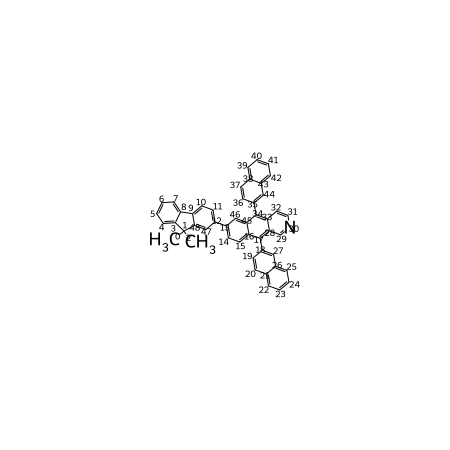 CC1(C)c2ccccc2-c2ccc(-c3ccc4c(-c5ccc6ccccc6c5)c5cnccc5c(-c5ccc6ccccc6c5)c4c3)cc21